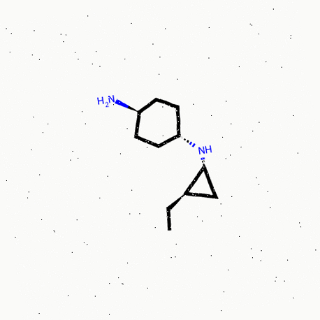 CC[C@@H]1C[C@H]1N[C@H]1CC[C@H](N)CC1